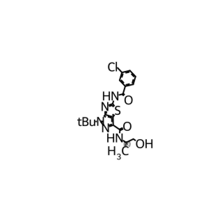 C[C@H](CO)NC(=O)c1nn(C(C)(C)C)c2nc(NC(=O)c3cccc(Cl)c3)sc12